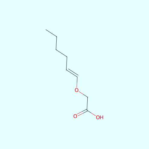 CCCCC=COCC(=O)O